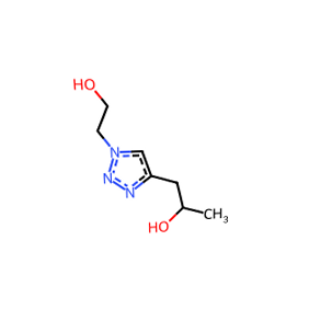 CC(O)Cc1cn(CCO)nn1